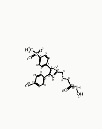 CS(=O)(=O)c1ccc(-c2oc(CCCC(=O)NO)nc2-c2ccc(Cl)cc2)cc1